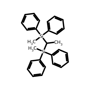 CC([Si](C)(c1ccccc1)c1ccccc1)[Si](C)(c1ccccc1)c1ccccc1